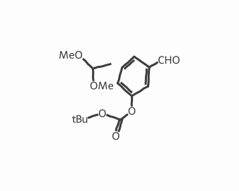 CC(C)(C)OC(=O)Oc1cccc(C=O)c1.COC(C)OC